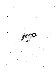 COC(=O)c1c(OC)c(=O)c(C(=O)[C@@H](N)Cc2c(F)cc(F)cc2F)cn1CC(OC)OC